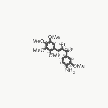 CC/C(=C\c1cc(OC)c(OC)c(OC)c1OC)C(=O)c1ccc(N)c(OC)c1